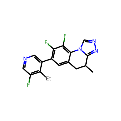 CCc1c(F)cncc1-c1cc2c(c(F)c1F)-n1cnnc1C(C)C2